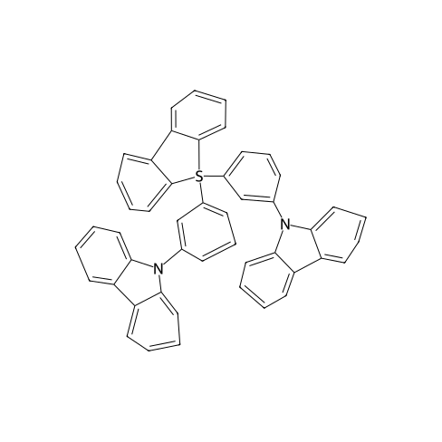 c1cc(-n2c3ccccc3c3ccccc32)cc(S2(c3cccc(-n4c5ccccc5c5ccccc54)c3)c3ccccc3-c3ccccc32)c1